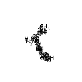 COc1ccc(F)cc1C(=O)NCc1ccc(-c2nn(C3CCN(C4C[C@@H]5CN(c6ccc7c(c6)C(=O)N(C6CCC(=O)NC6=O)C7=O)C[C@@H]5C4)CC3)c(N)c2C(N)=O)cc1